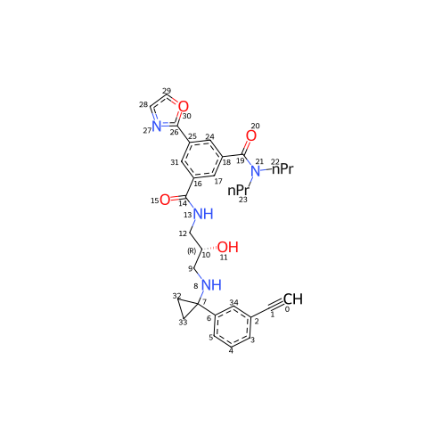 C#Cc1cccc(C2(NC[C@@H](O)CNC(=O)c3cc(C(=O)N(CCC)CCC)cc(-c4ncco4)c3)CC2)c1